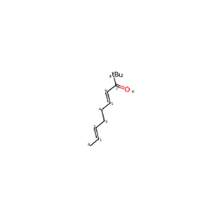 CC=CCCC=CC(=O)C(C)(C)C